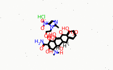 C[C@H]1c2cccc(O)c2C(=O)C2=C(O)[C@]3(O)C(=O)C(C(N)=O)=C(O)[C@@H](N(C)C)[C@@H]3[C@@H](O)[C@@H]21.Cc1ncc([N+](=O)[O-])n1CCO.Cl.O